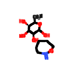 C1CCNOCC1.O=C(O)[C@H]1OC(O)[C@H](O)[C@@H](O)[C@@H]1O